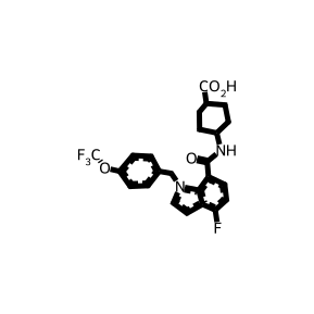 O=C(NC1CCC(C(=O)O)CC1)c1ccc(F)c2ccn(Cc3ccc(OC(F)(F)F)cc3)c12